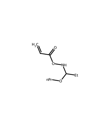 C=CC(=O)ONC(CC)OCCC